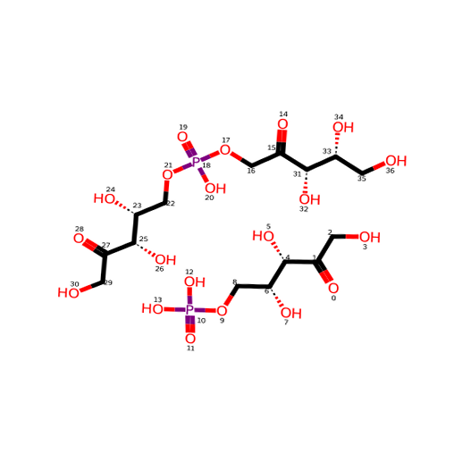 O=C(CO)[C@@H](O)[C@H](O)COP(=O)(O)O.O=C(COP(=O)(O)OC[C@@H](O)[C@H](O)C(=O)CO)[C@@H](O)[C@H](O)CO